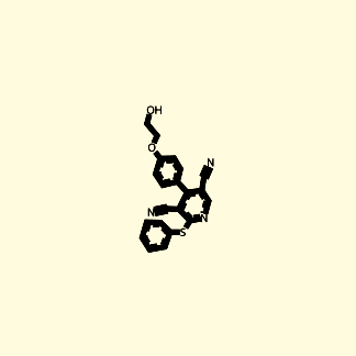 N#Cc1cnc(Sc2ccccc2)c(C#N)c1-c1ccc(OCCO)cc1